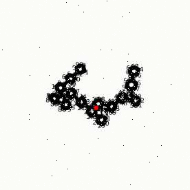 c1ccc(-c2ccc(-c3cccc(C4(c5cccc(-c6ccc(-c7ccc(-c8ccccc8-n8c9ccccc9c9cc(-c%10ccc%11c(c%10)c%10ccccc%10n%11-c%10ccc(-c%11ccccc%11)cc%10)ccc98)cc7)cc6)c5)c5ccccc5-c5ccccc54)c3)cc2)cc1